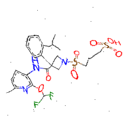 Cc1ccc(NC(=O)C2(c3ccccc3C(C)C)CN(S(=O)(=O)CCCS(=O)(=O)O)C2)c(OC(F)F)n1